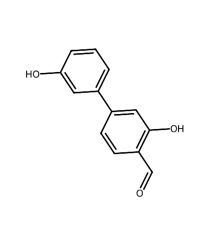 O=Cc1ccc(-c2cccc(O)c2)cc1O